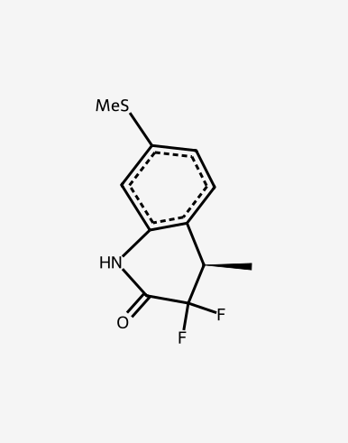 CSc1ccc2c(c1)NC(=O)C(F)(F)[C@@H]2C